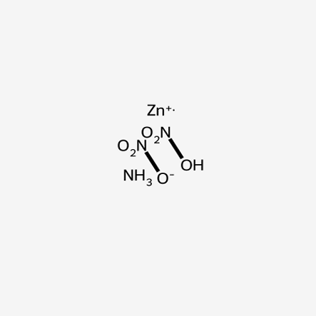 N.O=[N+]([O-])O.O=[N+]([O-])[O-].[Zn+]